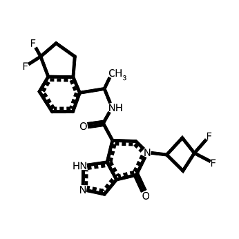 CC(NC(=O)c1cn(C2CC(F)(F)C2)c(=O)c2cn[nH]c12)c1cccc2c1CCC2(F)F